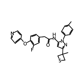 Cc1ccc(-n2nc(C3(C)CSC3)cc2NC(=O)Cc2ccc(Oc3ccncc3)c(F)c2)cc1